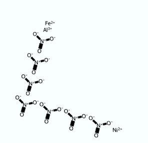 O=[N+]([O-])[O-].O=[N+]([O-])[O-].O=[N+]([O-])[O-].O=[N+]([O-])[O-].O=[N+]([O-])[O-].O=[N+]([O-])[O-].O=[N+]([O-])[O-].[Al+3].[Fe+2].[Ni+2]